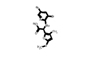 CSc1cc(C)c(C(Nc2ncc(Br)cc2Br)C(=O)O)o1